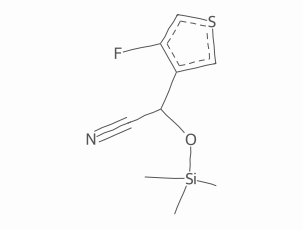 C[Si](C)(C)OC(C#N)c1cscc1F